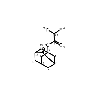 O=C(OC12CC3CC(C1)C(=O)C(C3)C2)C(F)F